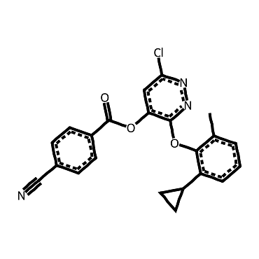 Cc1cccc(C2CC2)c1Oc1nnc(Cl)cc1OC(=O)c1ccc(C#N)cc1